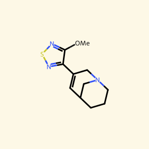 COc1nsnc1C1=CC2CCCN(C1)C2